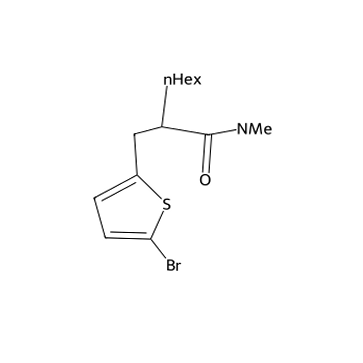 CCCCCCC(Cc1ccc(Br)s1)C(=O)NC